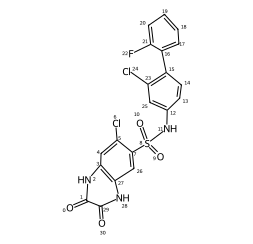 O=c1[nH]c2cc(Cl)c(S(=O)(=O)Nc3ccc(-c4ccccc4F)c(Cl)c3)cc2[nH]c1=O